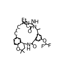 CCC12CCCCc3ccc4c(c3)C(CC(C)(C)O4)NC(=O)c3cc(OC(F)F)cc(c3)C(C)N(C(=N)N1)C(=O)C2